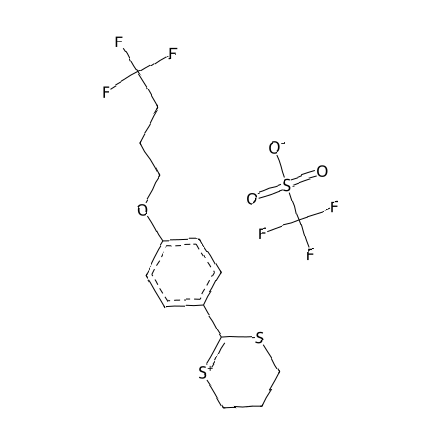 FC(F)(F)CCCOc1ccc(C2=[S+]CCCS2)cc1.O=S(=O)([O-])C(F)(F)F